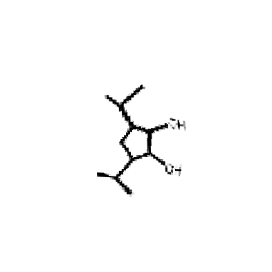 CC(C)C1CC(C(C)C)C(O)C1O